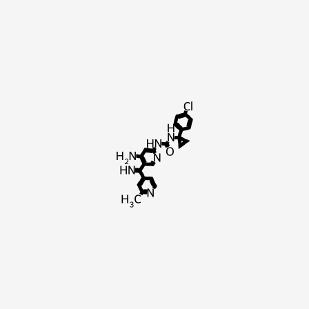 Cc1cc(C(=N)c2cnc(NC(=O)NC3(c4ccc(Cl)cc4)CC3)cc2N)ccn1